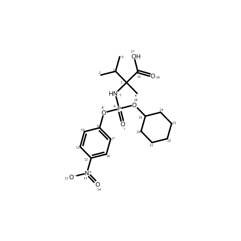 CC(C)C(C)(NP(=O)(Oc1ccc([N+](=O)[O-])cc1)OC1CCCCC1)C(=O)O